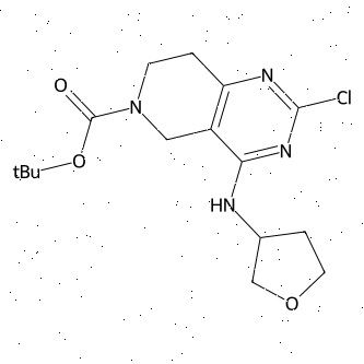 CC(C)(C)OC(=O)N1CCc2nc(Cl)nc(NC3CCOC3)c2C1